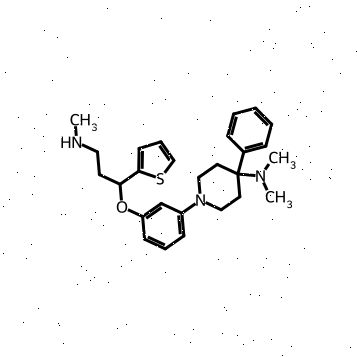 CNCCC(Oc1cccc(N2CCC(c3ccccc3)(N(C)C)CC2)c1)c1cccs1